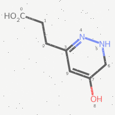 O=C(O)CCC1=NNCC(O)=C1